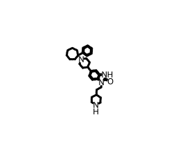 O=c1[nH]c2cc(C3CCN(C4(c5ccccc5)CCCCCC4)CC3)ccc2n1CCC1CCNCC1